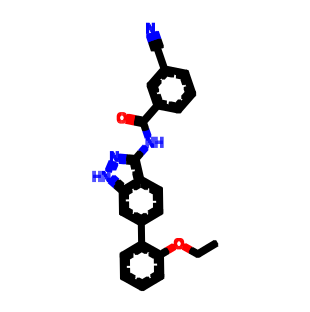 CCOc1ccccc1-c1ccc2c(NC(=O)c3cccc(C#N)c3)n[nH]c2c1